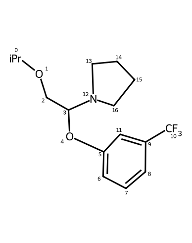 CC(C)OCC(Oc1cccc(C(F)(F)F)c1)N1CCCC1